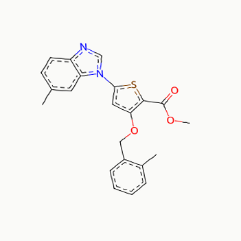 COC(=O)c1sc(-n2cnc3ccc(C)cc32)cc1OCc1ccccc1C